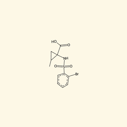 CC1CC1(NS(=O)(=O)c1ccccc1Br)C(=O)O